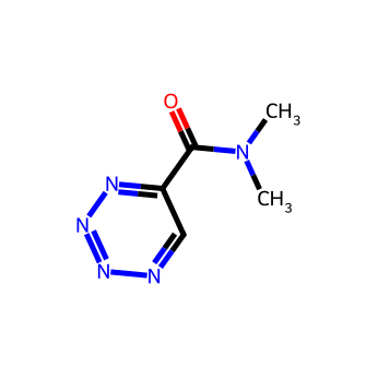 CN(C)C(=O)c1cnnnn1